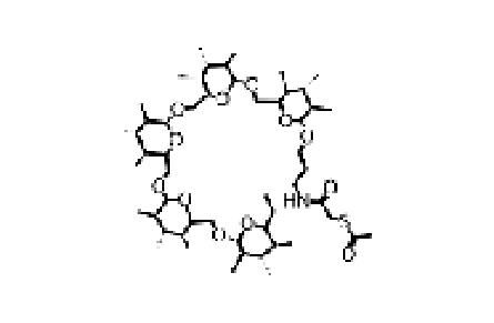 CCC1O[C@@H](OCC2O[C@H](OCC3O[C@H](OCC4O[C@H](OCC5O[C@@H](OCCCNC(=O)CSC(C)=O)C(C)[C@@H](C)[C@@H]5C)C(C)[C@@H](C)[C@@H]4C)C(C)[C@@H](C)[C@@H]3C)C(C)[C@@H](C)[C@@H]2C)C(C)[C@@H](C)[C@@H]1C